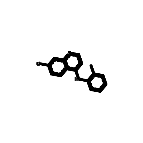 Cc1ccccc1Nc1ccnc2cc(Cl)ccc12